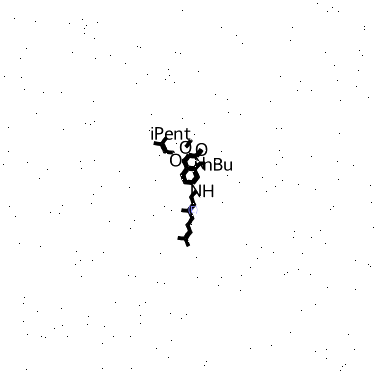 CCCCn1c(=O)c(OCC(C)CCC)c(OCC=C(C)C)c2ccc(NC/C=C(\C)CCC=C(C)C)cc21